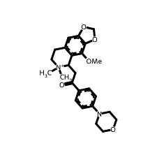 COc1c2c(cc3c1C(CC(=O)c1ccc(N4CCOCC4)cc1)[N+](C)(C)CC3)OCO2